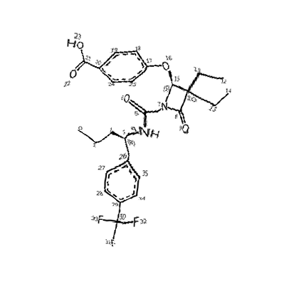 CCC[C@@H](NC(=O)N1C(=O)C(CC)(CC)[C@@H]1Oc1ccc(C(=O)O)cc1)c1ccc(C(F)(F)F)cc1